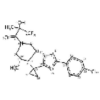 C[C@@H]1CN(C(=O)C(C)(O)C(F)(F)F)CC[C@@H]1C1(c2nnc(-c3ccc(Cl)cc3)o2)CC1